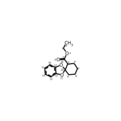 CCOC(=O)C1CCCCC12Oc1ccccc1O2